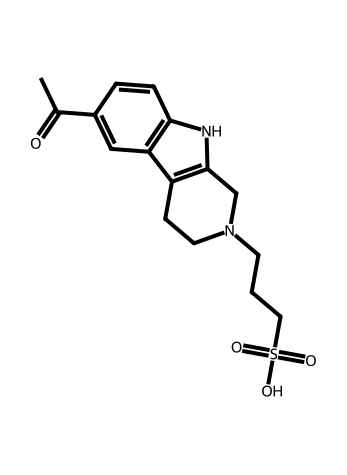 CC(=O)c1ccc2[nH]c3c(c2c1)CCN(CCCS(=O)(=O)O)C3